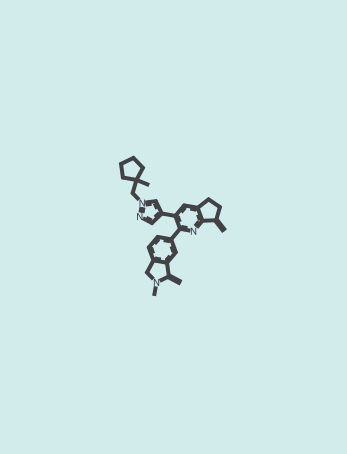 C=C1CCc2cc(-c3cnn(CC4(C)CCCC4)c3)c(-c3ccc4c(c3)C(=C)N(C)C4)nc21